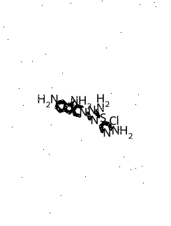 Nc1ccc2c(c1)[C@@H](N)C1(CCN(c3cnc(Sc4ccnc(N)c4Cl)c(N)n3)CC1)C2